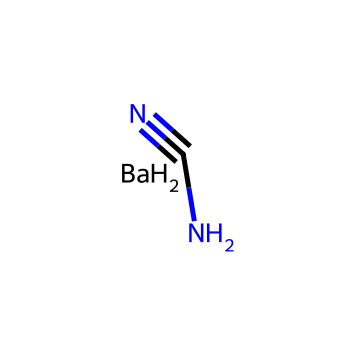 N#CN.[BaH2]